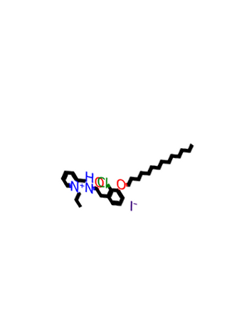 CCCCCCCCCCCCCCOc1cccc(CC(=O)NCc2cccc[n+]2CCC)c1Cl.[I-]